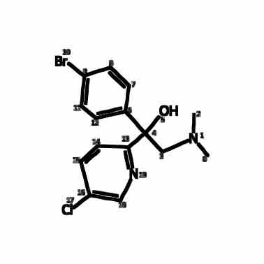 CN(C)CC(O)(c1ccc(Br)cc1)c1ccc(Cl)cn1